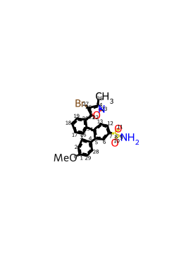 COc1ccc(-c2cc(S(N)(=O)=O)ccc2-c2ccccc2-c2onc(C)c2Br)cc1